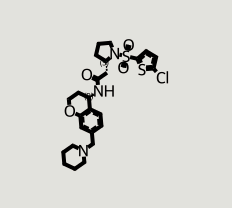 O=C(C[C@@H]1CCCN1S(=O)(=O)c1ccc(Cl)s1)N[C@@H]1CCOc2cc(CN3CCCCC3)ccc21